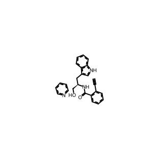 C#Cc1ccccc1C(=O)N[C@@H](CO)Cc1c[nH]c2ccccc12.c1ccncc1